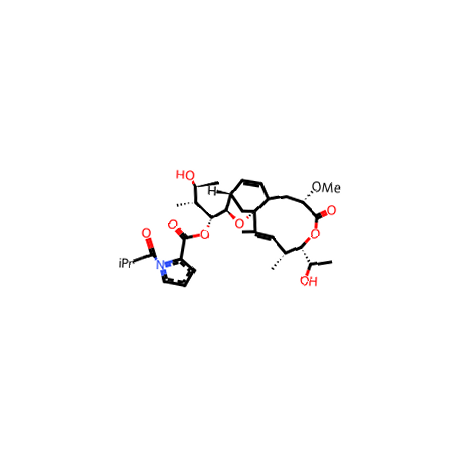 CO[C@H]1CC2C=C[C@@H]3C[C@]2(O[C@H]3[C@H](OC(=O)c2cccn2C(=O)C(C)C)[C@H](C)[C@H](C)O)/C(C)=C/[C@@H](C)[C@@H](C(C)O)OC1=O